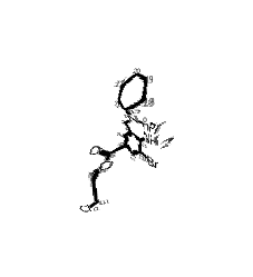 CCCN(Cc1cc(C(=O)OCCCl)cc(Br)c1N)C1CCCCC1